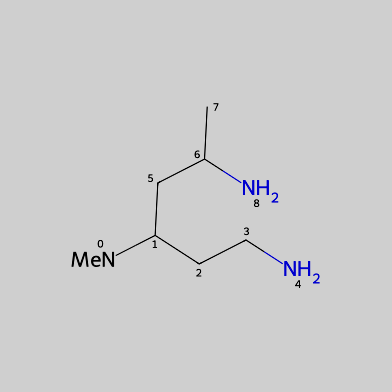 CNC(CCN)CC(C)N